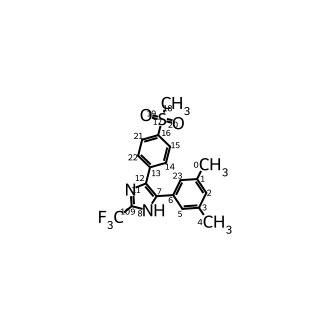 Cc1cc(C)cc(-c2[nH]c(C(F)(F)F)nc2-c2ccc(S(C)(=O)=O)cc2)c1